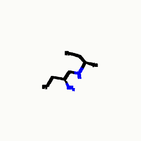 CC(=O)[C@H](CC(C)C)NC[C@H](N)CC(C)C